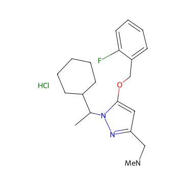 CNCc1cc(OCc2ccccc2F)n(C(C)C2CCCCC2)n1.Cl